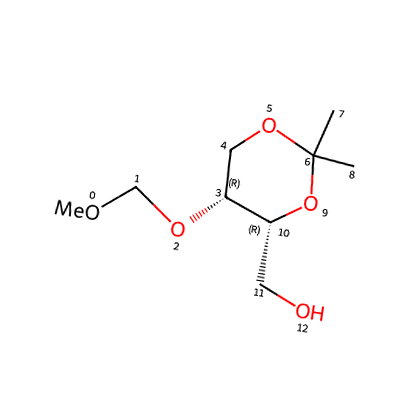 COCO[C@@H]1COC(C)(C)O[C@@H]1CO